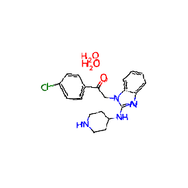 O.O.O=C(Cn1c(NC2CCNCC2)nc2ccccc21)c1ccc(Cl)cc1